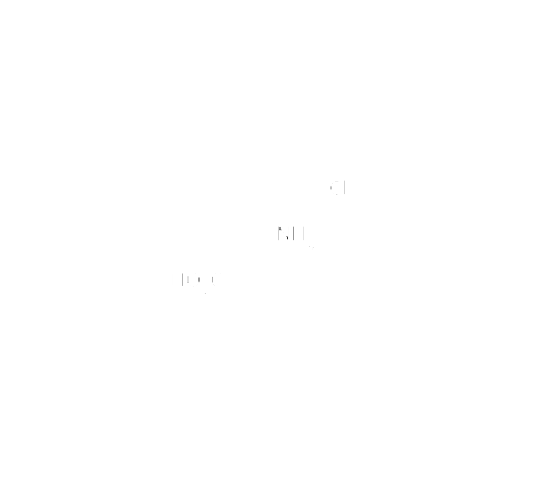 CC(N)C(=O)O.Clc1ccccc1